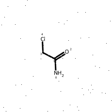 NC(=O)[CH]Cl